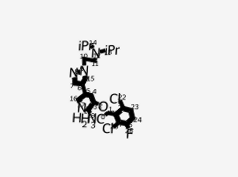 CC(Oc1cc(-c2cnn(CCN(C(C)C)C(C)C)c2)cnc1N)c1c(Cl)ccc(F)c1Cl